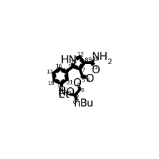 CCCCC(CC)COC(=O)c1c(C(N)=O)c[nH]c1-c1cccc([N+](=O)[O-])c1